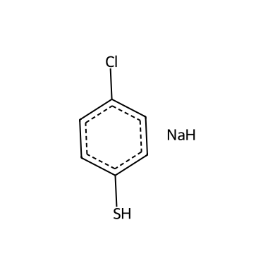 Sc1ccc(Cl)cc1.[NaH]